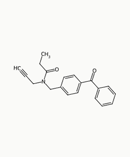 C#CCN(Cc1ccc(C(=O)c2ccccc2)cc1)C(=O)CC